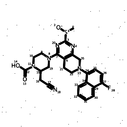 C[S+]([O-])c1nc2c(c(N3CCN(C(=O)O)C(CC#N)C3)n1)CCN(c1ccc(F)c3ccccc13)C2